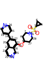 O=S(=O)(C1CC1)N1CCC(Oc2cc(-c3ccncc3)cc3ccncc23)CC1